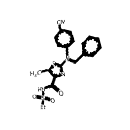 CCS(=O)(=O)NC(=O)c1nc(N(Cc2ccccc2)c2ccc(C#N)cc2)sc1C